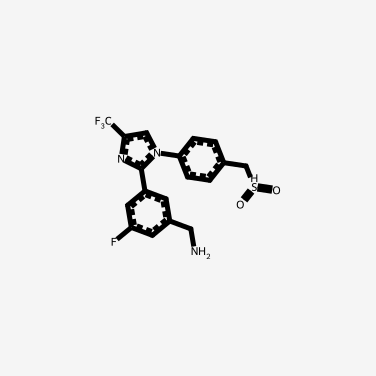 NCc1cc(F)cc(-c2nc(C(F)(F)F)cn2-c2ccc(C[SH](=O)=O)cc2)c1